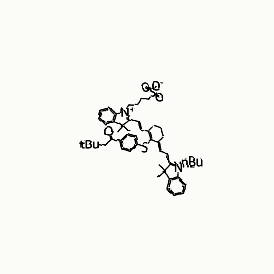 CCCCN1/C(=C/C=C2\CCCC(/C=C/C3=[N+](CCCCS(=O)(=O)[O-])c4ccccc4C3(C)C)=C2Sc2ccc(C(=O)CC(C)(C)C)cc2)C(C)(C)c2ccccc21